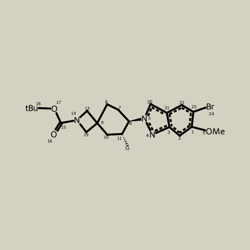 COc1cc2nn([C@@H]3CCC4(C[C@H]3C)CN(C(=O)OC(C)(C)C)C4)cc2cc1Br